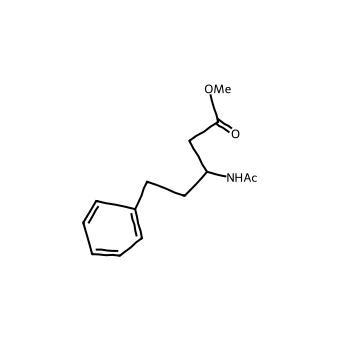 COC(=O)CC(CCc1ccccc1)NC(C)=O